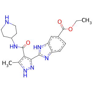 CCOC(=O)c1ccc2nc(-c3n[nH]c(C)c3C(=O)NC3CCNCC3)[nH]c2c1